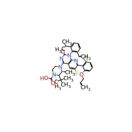 C=CCOc1cccc(Cl)c1-c1nc2c(cc1F)c(N1CCN(C(=O)O)C(C(C)(C)C)[C@@H]1C)nc(=O)n2-c1c(C=C)cccc1C(C)C